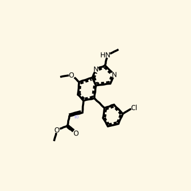 CNc1ncc2c(-c3cccc(Cl)c3)c(/C=C/C(=O)OC)cc(OC)c2n1